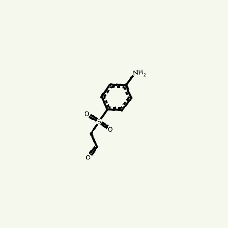 Nc1ccc(S(=O)(=O)CC=O)cc1